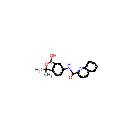 CC1(C)OB(O)c2cc(NC(=O)c3ccc4ccccc4n3)ccc21